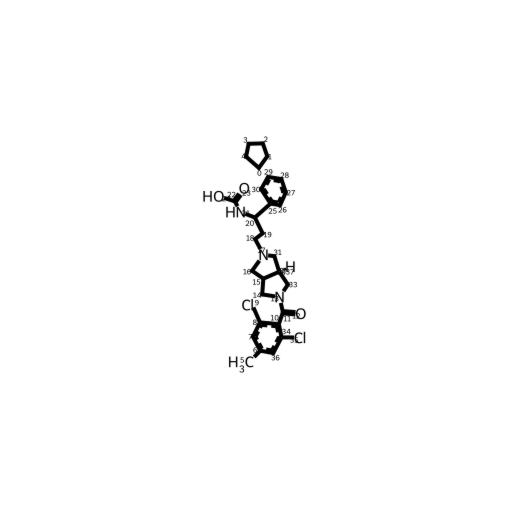 C1CCCC1.Cc1cc(Cl)c(C(=O)N2CC3CN(CCC(NC(=O)O)c4ccccc4)C[C@H]3C2)c(Cl)c1